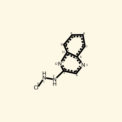 ClNNc1cnc2ccccc2n1